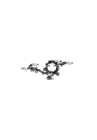 CCCOCC[C@@H]1NC(=O)[C@H](Cc2ccc(CNC(=O)COCCOCCNC(=O)CCCCC3(N(CC(=O)O)CC(=O)O)CN(CC(=O)O)CCN(CC(=O)O)C3)cc2)NC(=O)[C@H](Cc2ccccc2)N(C)C(=O)CNC(=O)CNC(=O)[C@H]2CCCN2C(=O)[C@H](CC(=O)O)NC(=O)[C@H](CCCCNC(=O)N2CCN(CC(=O)O)CC2)NC(=O)CNC(=O)[C@H](Cc2c[nH]c3ccccc23)NC1=O.O=C(O)C(F)(F)F